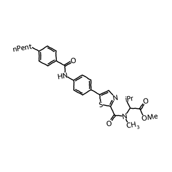 CCCCCc1ccc(C(=O)Nc2ccc(-c3cnc(C(=O)N(C)C(C(=O)OC)C(C)C)s3)cc2)cc1